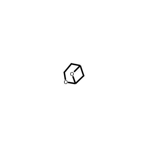 C1CC2CC(O1)O2